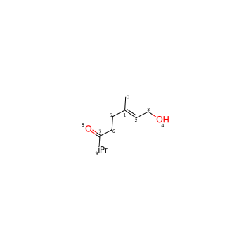 CC(=CCO)CCC(=O)C(C)C